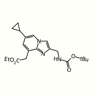 CCOC(=O)Cc1cc(C2CC2)cn2cc(CNC(=O)OC(C)(C)C)nc12